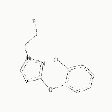 FCCn1cnc(Oc2ccccc2Cl)n1